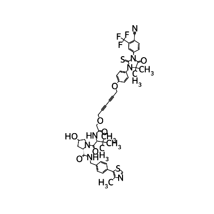 Cc1ncsc1-c1ccc(CNC(=O)[C@@H]2C[C@@H](O)CN2C(=O)C(NC(=O)COCC#CC#CCOc2ccc(N3C(=S)N(c4ccc(C#N)c(C(F)(F)F)c4)C(=O)C3(C)C)cc2)C(C)(C)C)cc1